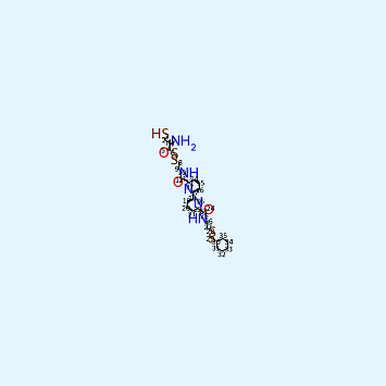 N[C@@H](CS)C(=O)SSCCNC(=O)c1cccc(-c2cccc(C(=O)NCCSSC3CCCCC3)n2)n1